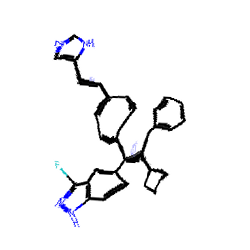 Fc1n[nH]c2ccc(/C(=C(/c3ccccc3)C3CCC3)c3ccc(/C=C/c4cnc[nH]4)cc3)cc12